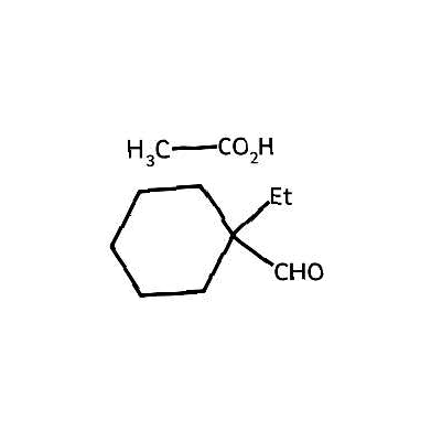 CC(=O)O.CCC1(C=O)CCCCC1